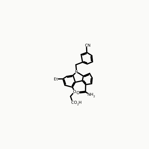 CCc1cc(OCC(=O)O)c2c3c(C(N)=O)cccc3n(Cc3cccc(C#N)c3)c2c1